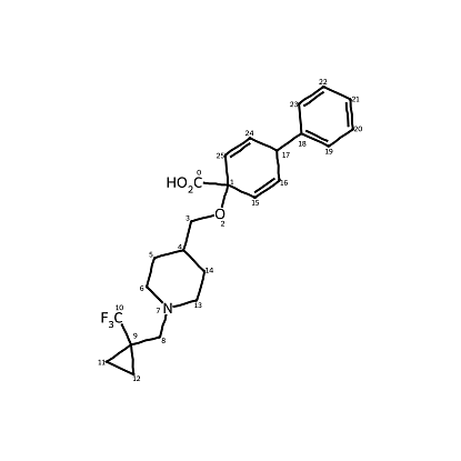 O=C(O)C1(OCC2CCN(CC3(C(F)(F)F)CC3)CC2)C=CC(c2ccccc2)C=C1